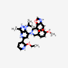 CCOc1ncccc1-c1cc(N(Cc2ccc(OC)cc2)Cc2cccc3ncoc23)c2c(n1)c(C)nn2C(C)C